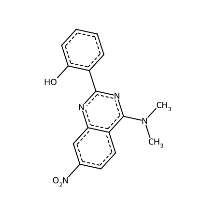 CN(C)c1nc(-c2ccccc2O)nc2cc([N+](=O)[O-])ccc12